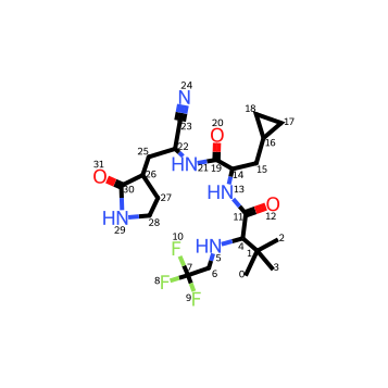 CC(C)(C)C(NCC(F)(F)F)C(=O)NC(CC1CC1)C(=O)NC(C#N)CC1CCNC1=O